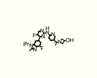 Cc1nc2c(F)cc(-c3nc(Nc4ccc([C@H](C)N5CC(O)C5)cn4)ncc3F)cc2n1C(C)C